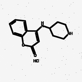 Cl.O=c1cc(NC2CCNCC2)c2ccccc2o1